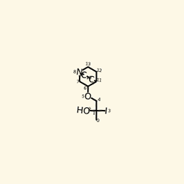 CC(O)(I)COC1CN2CCC1CC2